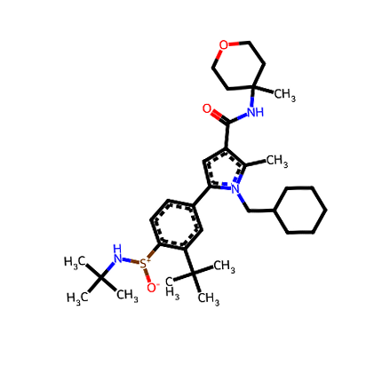 Cc1c(C(=O)NC2(C)CCOCC2)cc(-c2ccc([S+]([O-])NC(C)(C)C)c(C(C)(C)C)c2)n1CC1CCCCC1